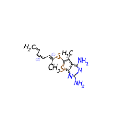 C=C/C=C\C=C(/C)Sc1sc2nc(N)nc(N)c2c1C